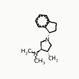 C[C@H]1CN([C@H]2CCc3ccccc32)C[C@@H]1N(C)C